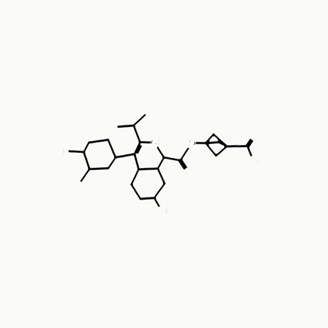 CC(C)C1=C(C2CCC(F)C(C)C2)C2CCC(O)CC2C(C(=O)NC23CC(C(=O)O)(C2)C3)N1